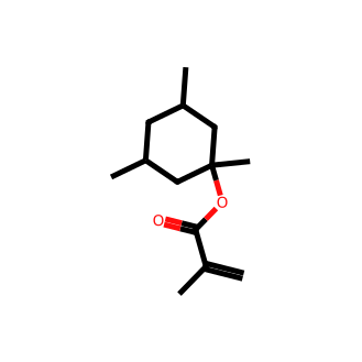 C=C(C)C(=O)OC1(C)CC(C)CC(C)C1